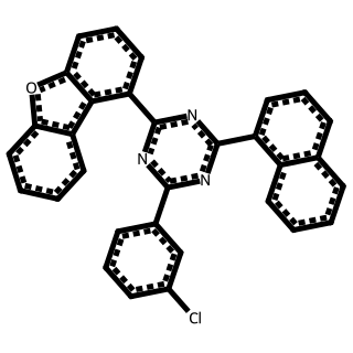 Clc1cccc(-c2nc(-c3cccc4ccccc34)nc(-c3cccc4oc5ccccc5c34)n2)c1